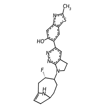 Cc1nc2cc(O)c(-c3cc4c(nn3)N(C3CCC5CC=C(C[C@@H]3F)N5)CC4)cc2s1